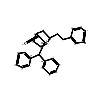 O=C1C2CCN(C(CCc3ccccc3)C2)C1C(c1ccccc1)c1ccccc1